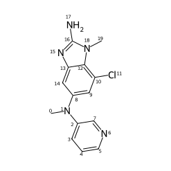 CN(c1cccnc1)c1cc(Cl)c2c(c1)nc(N)n2C